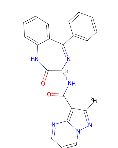 [2H]c1nn2cccnc2c1C(=O)N[C@H]1N=C(c2ccccc2)c2ccccc2NC1=O